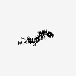 COc1cc(C(=O)N2CCC(O)(Cn3cnc4c(cnn4-c4ccc(F)cc4)c3=O)CC2)nn1C